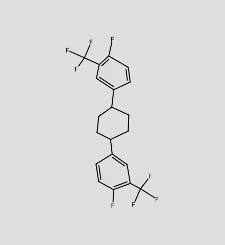 Fc1ccc(C2CCC(c3ccc(F)c(C(F)(F)F)c3)CC2)cc1C(F)(F)F